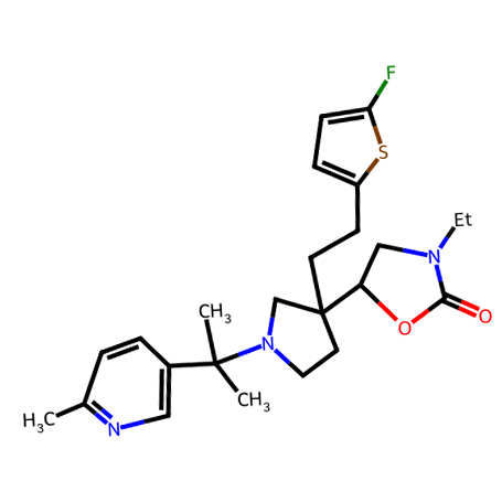 CCN1CC(C2(CCc3ccc(F)s3)CCN(C(C)(C)c3ccc(C)nc3)C2)OC1=O